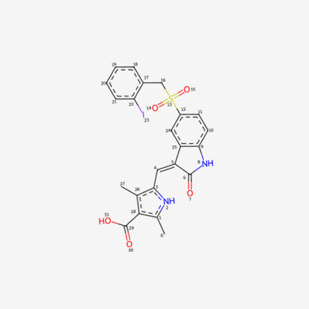 Cc1[nH]c(/C=C2\C(=O)Nc3ccc(S(=O)(=O)Cc4ccccc4I)cc32)c(C)c1C(=O)O